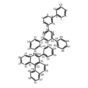 c1ccc(-c2cccc(-c3nc(-c4ccccc4)c(-c4cccc(-c5nc6ccccc6c6c5ccc5ccccc56)c4)c(-c4ccccc4)n3)c2)cc1